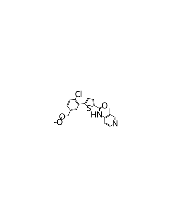 COOCc1ccc(Cl)c(-c2ccc(C(=O)Nc3ccncc3C)s2)c1